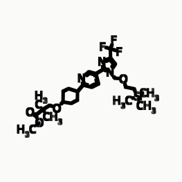 COC(=O)C(C)(C)COC1CCC(c2ccc(-c3nc(C(F)(F)F)cn3COCC[Si](C)(C)C)cn2)CC1